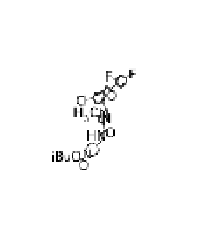 Cc1cc(C(=O)NCC2CCN(C(=O)OCC(C)C)CC2)nn1Cc1cc(Cl)cc2cc(-c3ccc(F)cc3F)oc12